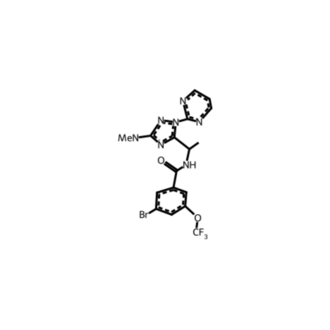 CNc1nc(C(C)NC(=O)c2cc(Br)cc(OC(F)(F)F)c2)n(-c2ncccn2)n1